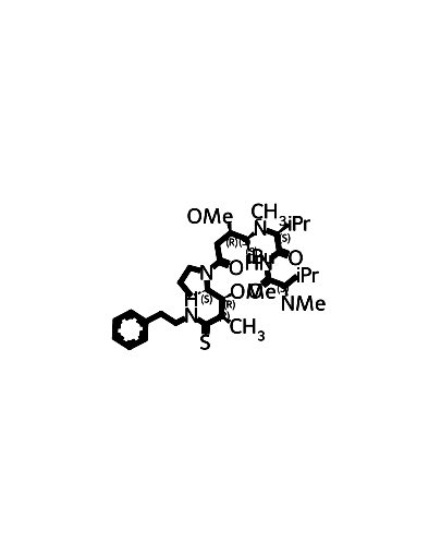 CC[C@H](C)[C@@H]([C@@H](CC(=O)N1CCC[C@H]1[C@H](OC)[C@@H](C)C(=S)NCCc1ccccc1)OC)N(C)[C@H](C(=O)NC(=O)[C@@H](NC)C(C)C)C(C)C